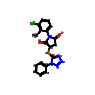 Cc1c(Cl)cccc1N1C(=O)CC(Sc2nnnn2-c2ccccc2)C1=O